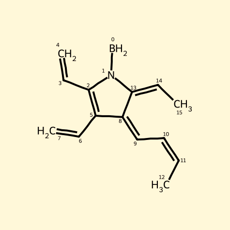 Bn1c(C=C)c(C=C)c(=C/C=C\C)/c1=C\C